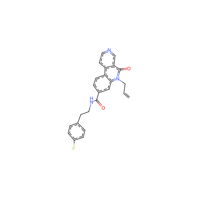 C=CCn1c(=O)c2cnccc2c2ccc(C(=O)NCCc3ccc(F)cc3)cc21